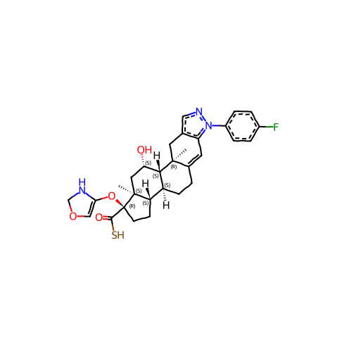 C[C@]12Cc3cnn(-c4ccc(F)cc4)c3C=C1CC[C@@H]1[C@@H]2[C@@H](O)C[C@@]2(C)[C@H]1CC[C@]2(OC1=COCN1)C(=O)S